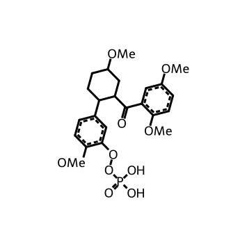 COc1ccc(OC)c(C(=O)C2CC(OC)CCC2c2ccc(OC)c(OOP(=O)(O)O)c2)c1